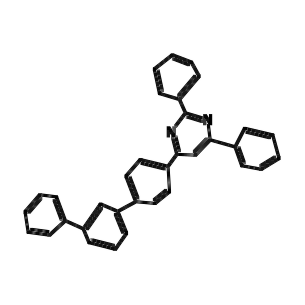 c1ccc(-c2cccc(-c3ccc(-c4cc(-c5ccccc5)nc(-c5ccccc5)n4)cc3)c2)cc1